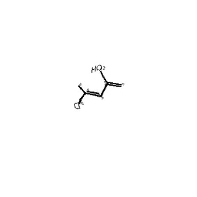 C=C(O)/C=C(\C)Cl